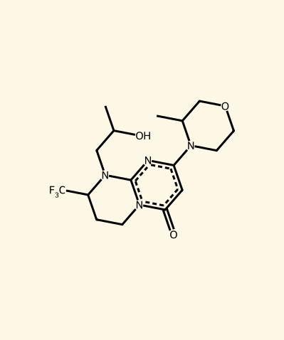 CC(O)CN1c2nc(N3CCOCC3C)cc(=O)n2CCC1C(F)(F)F